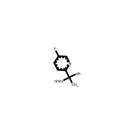 CCCCCCC(C)(CCC)c1ccc(F)cn1